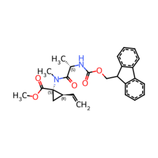 C=C[C@H]1C[C@]1(C(=O)OC)N(C)C(=O)[C@H](C)NC(=O)OCC1c2ccccc2-c2ccccc21